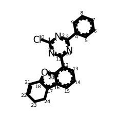 Clc1nc(-c2ccccc2)nc(-c2cccc3c4c(oc23)C=CCC4)n1